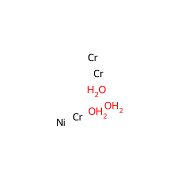 O.O.O.[Cr].[Cr].[Cr].[Ni]